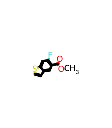 COC(=O)c1cc2ccsc2cc1F